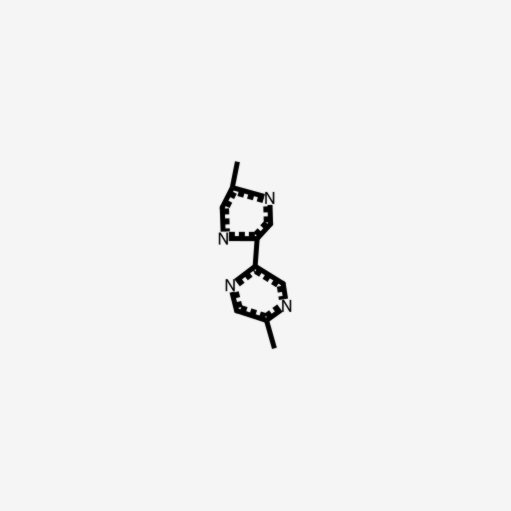 Cc1cnc(-c2cnc(C)cn2)cn1